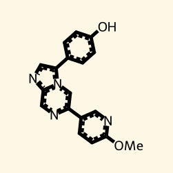 COc1ccc(-c2cn3c(-c4ccc(O)cc4)cnc3cn2)cn1